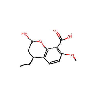 CCC1CB(O)Oc2c1ccc(OC)c2C(=O)O